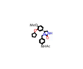 COc1ccc([C@@H]2CNC(=O)N2Cc2ccc(NC(C)=O)cc2)cc1OC1CCCC1